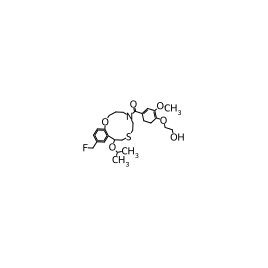 COC1=C(OCCO)CCC(C(=O)N2CCCOc3ccc(CF)cc3C(OC(C)C)CSCC2)=C1